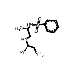 CC(C)[C@H](CN)NC[C@@H](C)NS(=O)(=O)c1ccccc1